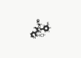 Cc1c(-c2cccnc2)nc(-c2cccc(F)c2)n1C=S=O.Cl